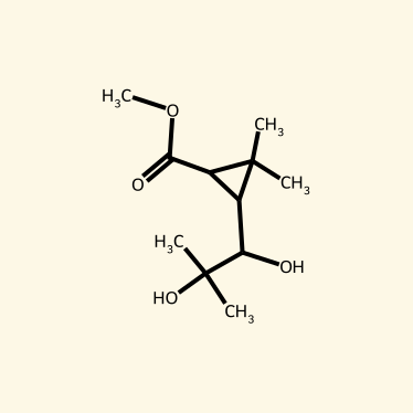 COC(=O)C1C(C(O)C(C)(C)O)C1(C)C